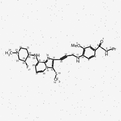 COc1cc(C(=O)NC(C)C)ccc1NCC#Cc1nc2c(N[C@@H]3CCN(C)C[C@@H]3F)cccn2c1SC(F)(F)F